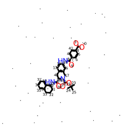 COC(=O)c1ccc(C(=O)Nc2ccc3c(c2)CN(C(=O)OC(C)(C)C)[C@H](C(=O)N[C@@H]2CCCc4ccccc42)C3)cc1